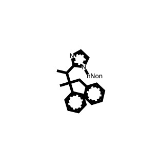 CCCCCCCCCn1ccnc1C(C)C(C)(Cc1ccccc1)c1ccccc1